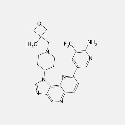 CC1(CN2CCC(n3cnc4cnc5ccc(-c6cnc(N)c(C(F)(F)F)c6)nc5c43)CC2)COC1